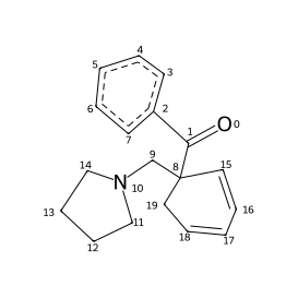 O=C(c1ccccc1)C1(CN2CCCC2)C=CC=CC1